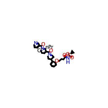 CCCC1C(C(=O)N2CCC(c3ccccc3OCCCC(=O)NS(=O)(=O)C3CC3)CC2)CCCN1C(=O)c1cnccc1C(F)(F)F